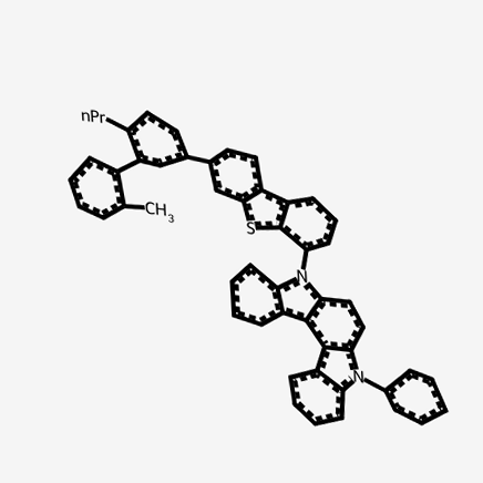 CCCc1ccc(-c2ccc3c(c2)sc2c(-n4c5ccccc5c5c6c7ccccc7n(-c7ccccc7)c6ccc54)cccc23)cc1-c1ccccc1C